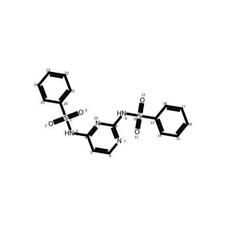 O=S(=O)(Nc1ccnc(NS(=O)(=O)c2ccccc2)n1)c1ccccc1